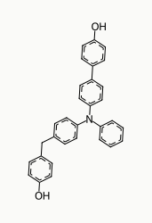 Oc1ccc(Cc2ccc(N(c3ccccc3)c3ccc(-c4ccc(O)cc4)cc3)cc2)cc1